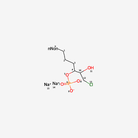 CCCCCCCCCCCCC(OP(=O)([O-])[O-])C(O)CCl.[Na+].[Na+]